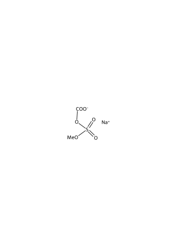 COS(=O)(=O)OC(=O)[O-].[Na+]